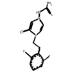 NC(=S)NN1C=CN(CCc2c(F)cccc2F)C(Cl)=C1